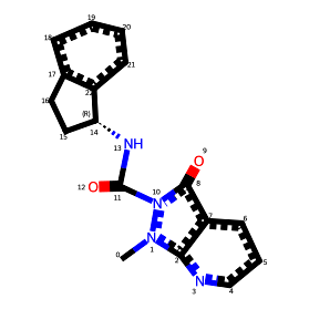 Cn1c2ncccc2c(=O)n1C(=O)N[C@@H]1CCc2ccccc21